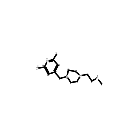 COCCN1CCN(Cc2cc(C)nc(Cl)c2)CC1